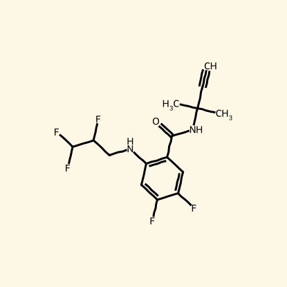 C#CC(C)(C)NC(=O)c1cc(F)c(F)cc1NCC(F)C(F)F